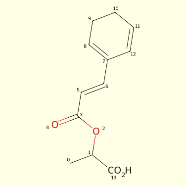 CC(OC(=O)C=CC1=CCCC=C1)C(=O)O